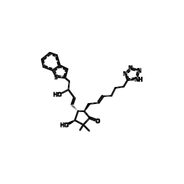 CC1(C)C(=O)[C@H](CC=CCCCc2nnn[nH]2)[C@@H](C=CC(O)Cc2cc3ccccc3s2)[C@@H]1O